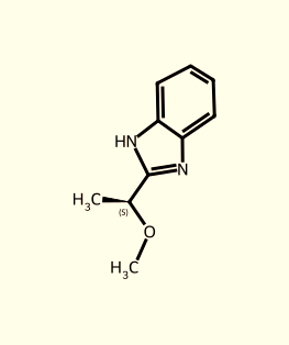 CO[C@@H](C)c1nc2ccccc2[nH]1